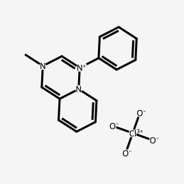 CN1C=C2C=CC=CN2[N+](c2ccccc2)=C1.[O-][Cl+3]([O-])([O-])[O-]